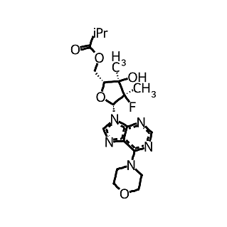 CC(C)C(=O)OC[C@H]1O[C@@H](n2cnc3c(N4CCOCC4)ncnc32)[C@](C)(F)[C@]1(C)O